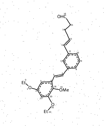 CCOc1cc(C=Cc2cccc(C=CCCC=O)c2)c(OC)c(OCC)c1